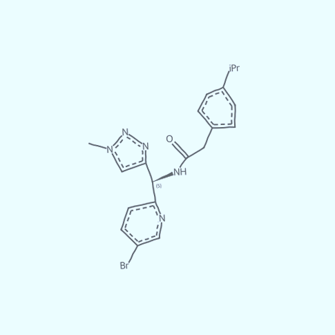 CC(C)c1ccc(CC(=O)N[C@@H](c2ccc(Br)cn2)c2cn(C)nn2)cc1